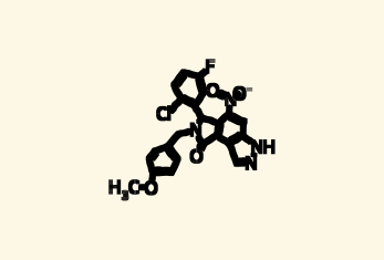 COc1ccc(CN2C(=O)c3c(c([N+](=O)[O-])cc4[nH]ncc34)C2c2cc(F)ccc2Cl)cc1